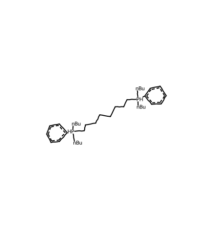 CCCC[PH](CCCC)(CCCCCCCC[PH](CCCC)(CCCC)c1ccccc1)c1ccccc1